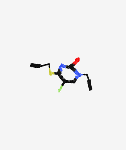 C#CCSc1nc(=O)n(CC#C)cc1F